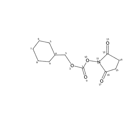 O=C(OCC1CCCCC1)ON1C(=O)CCC1=O